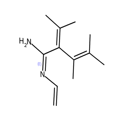 C=C/N=C(/N)C(=C(C)C)C(C)=C(C)C